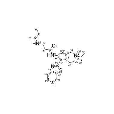 CCC(C)NCCC(=O)Nc1sc2c(c1-c1nc3ccccc3s1)CC[N+](C)(C(C)C)C2